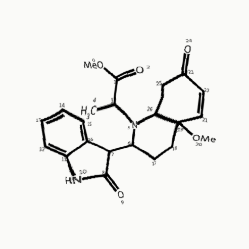 COC(=O)C(C)N1C(C2C(=O)Nc3ccccc32)CCC2(OC)C=CC(=O)CC12